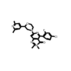 Cc1cc(C2CN(c3cc4nc(C)n(C)c(=O)c4c(-c4ccc(Cl)cc4F)n3)CCO2)cc(C)n1